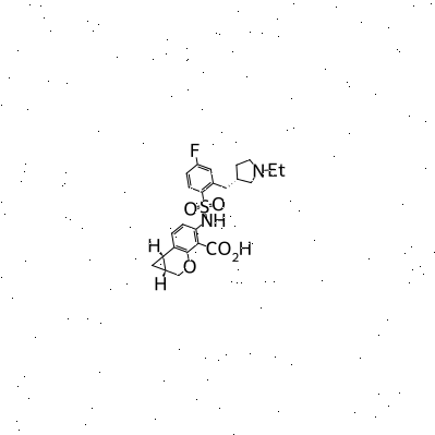 CCN1CC[C@@H](Cc2cc(F)ccc2S(=O)(=O)Nc2ccc3c(c2C(=O)O)OC[C@@H]2C[C@H]32)C1